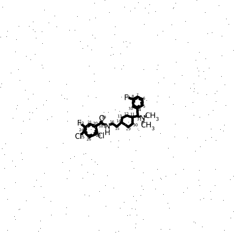 CN(C)C(c1cccc(F)c1)C1CCC(CCNC(=O)c2cc(F)c(Cl)cc2Cl)CC1